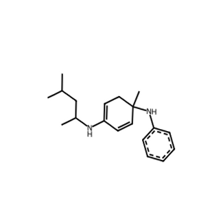 CC(C)CC(C)NC1=CCC(C)(Nc2ccccc2)C=C1